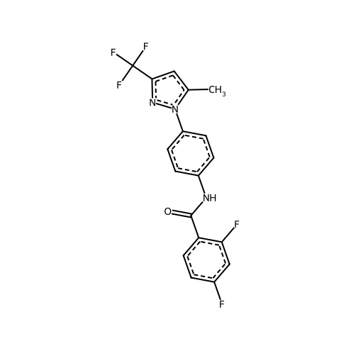 Cc1cc(C(F)(F)F)nn1-c1ccc(NC(=O)c2ccc(F)cc2F)cc1